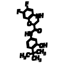 CC(C)(C)c1ccc(NC(=O)C2CNc3cc(F)c(F)cc3O2)cc1O